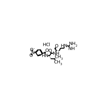 CC(C)C[C@H](NC(=O)c1ccc([N+](=O)[O-])cc1)C(=O)N[C@H](C=O)CCCNC(=N)N.Cl